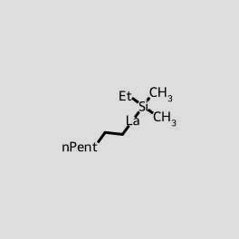 CCCCCC[CH2][La][Si](C)(C)CC